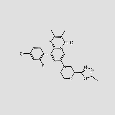 Cc1nnc([C@@H]2CN(c3cn4c(=O)c(C)c(C)nc4c(-c4ccc(Cl)cc4F)n3)CCO2)o1